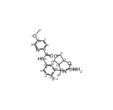 COc1ccc(C(=O)Nc2ccc(F)c(C3(C)N=C(N)OC4COCC43)c2)nc1